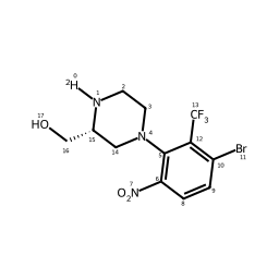 [2H]N1CCN(c2c([N+](=O)[O-])ccc(Br)c2C(F)(F)F)C[C@@H]1CO